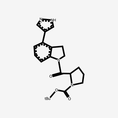 CC(C)(C)OC(=O)N1CCCC1C(=O)N1CCc2c(-c3cn[nH]c3)cccc21